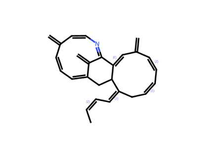 C=C1/C=C\C=C/C/C(=C/C=C\C)C2Cc3cccc(=C)ccnc(c3=C)/C2=C/1